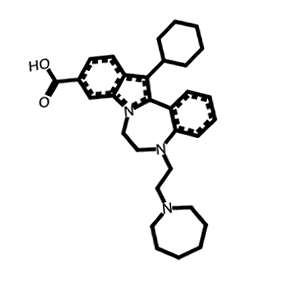 O=C(O)c1ccc2c(C3CCCCC3)c3n(c2c1)CCN(CCN1CCCCCC1)c1ccccc1-3